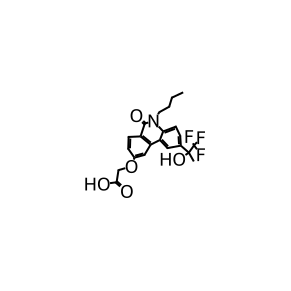 CCCCn1c(=O)c2ccc(OCC(=O)O)cc2c2cc(C(C)(O)C(F)(F)F)ccc21